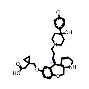 O=C(O)CC1(COc2ccc3c(c2)/C(=C/CCN2CCC(O)(c4ccc(Cl)cc4)CC2)C2=C(CO3)NCC=C2)CC1